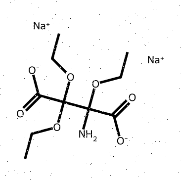 CCOC(N)(C(=O)[O-])C(OCC)(OCC)C(=O)[O-].[Na+].[Na+]